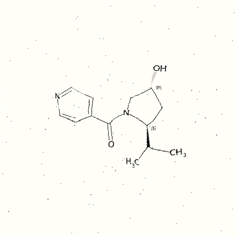 CC(C)[C@@H]1C[C@@H](O)CN1C(=O)c1ccncc1